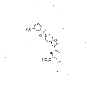 CC(C)CC(NC(=O)C1=NOC2(CCN(S(=O)(=O)c3cccc(C(F)(F)F)c3)CC2)C1)C(=O)O